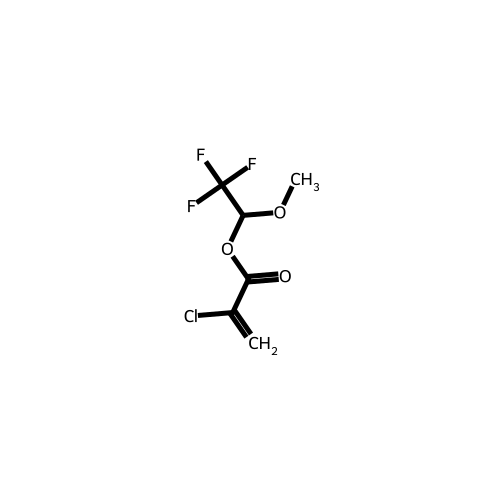 C=C(Cl)C(=O)OC(OC)C(F)(F)F